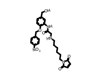 O=C(CNCCCCCCN1C(=O)C=CC1=O)Nc1cc(CO)ccc1OCc1ccc([N+](=O)[O-])cc1